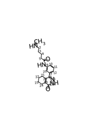 CNCCCCC(=O)Nc1cccc(-c2n[nH]c(=O)c3c2CCCC3)c1